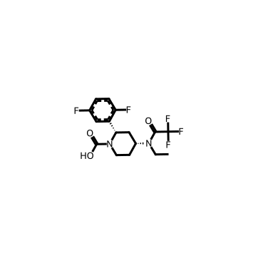 CCN(C(=O)C(F)(F)F)[C@@H]1CCN(C(=O)O)[C@H](c2cc(F)ccc2F)C1